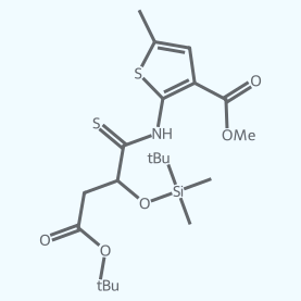 COC(=O)c1cc(C)sc1NC(=S)C(CC(=O)OC(C)(C)C)O[Si](C)(C)C(C)(C)C